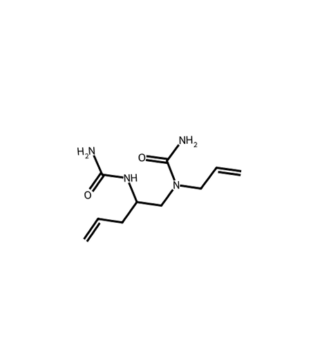 C=CCC(CN(CC=C)C(N)=O)NC(N)=O